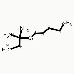 CCCCCOC(N)(N)CC